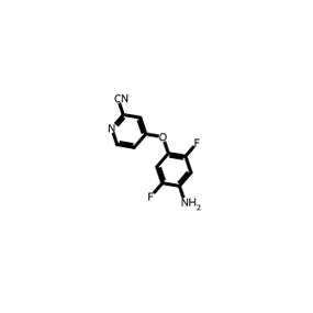 N#Cc1cc(Oc2cc(F)c(N)cc2F)ccn1